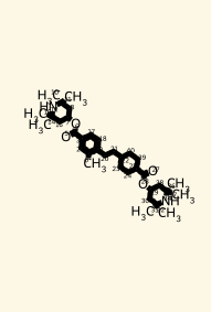 Cc1cc(C(=O)OC2CC(C)(C)NC(C)(C)C2)ccc1CCC1CCC(C(=O)OC2CC(C)(C)NC(C)(C)C2)CC1